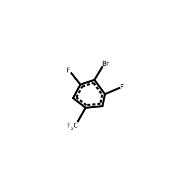 Fc1cc(C(F)(F)F)cc(F)c1Br